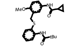 COc1ccc(NC(=O)C2CC2)cc1CSc1ccccc1NC(=O)C(C)(C)C